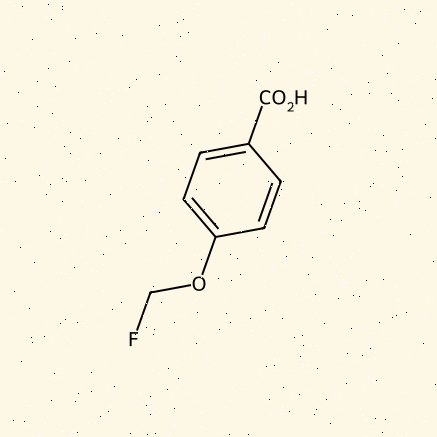 O=C(O)c1ccc(OCF)cc1